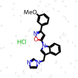 COc1cccc(-c2cc(-n3cc(Cn4ccnc4)c4ccccc43)on2)c1.Cl